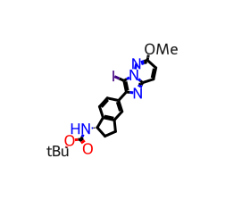 COc1ccc2nc(-c3ccc4c(c3)CC[C@@H]4NC(=O)OC(C)(C)C)c(I)n2n1